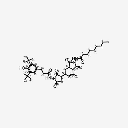 CCCCCCCCC(=S)NN1C(=O)C2CC(C3CC(=O)N(NC(=O)CCc4cc(C(C)(C)C)c(O)c(C(C)(C)C)c4)C3=O)C=C(C)C2C1=O